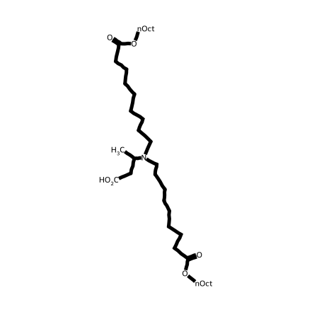 CCCCCCCCOC(=O)CCCCCCCCN(CCCCCCCCC(=O)OCCCCCCCC)C(C)CC(=O)O